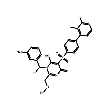 CC[C@@H](c1cccc(C#N)c1)n1c(COC(C)C)nc(=O)c(S(=O)(=O)c2ccc(-c3ccnc(F)c3C)cc2)c1O